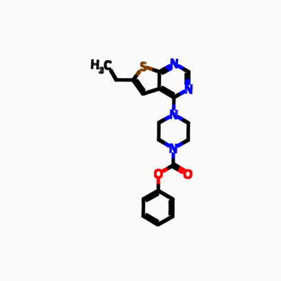 CCc1cc2c(N3CCN(C(=O)Oc4ccccc4)CC3)ncnc2s1